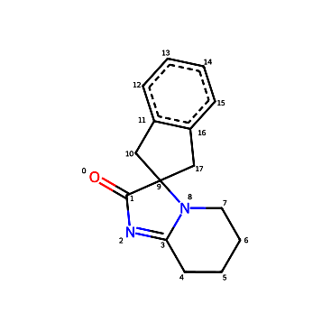 O=C1N=C2CCCCN2C12Cc1ccccc1C2